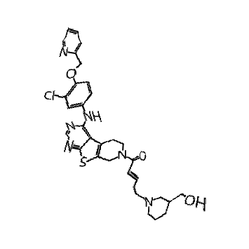 O=C(/C=C/CN1CCCC(CO)C1)N1CCc2c(sc3ncnc(Nc4ccc(OCc5ccccn5)c(Cl)c4)c23)C1